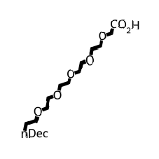 CCCCCCCCCCCCOCCOCCOCCOCCOCC(=O)O